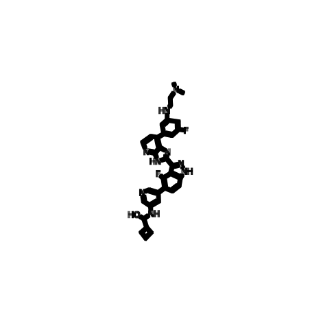 CN(C)CCNc1cc(F)cc(-c2ccnc3[nH]c(-c4n[nH]c5ccc(-c6cncc(NC(O)C7CCC7)c6)c(F)c45)nc23)c1